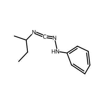 CCC(C)N=C=NNc1ccccc1